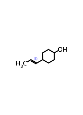 C/C=C/C1CCC(O)CC1